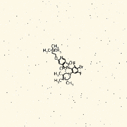 C[C@@H]1CN(c2cc(F)c(Br)c(F)c2NC(=O)c2cnc(OCC[Si](C)(C)C)cc2C(F)(F)F)C[C@H](C)N1C